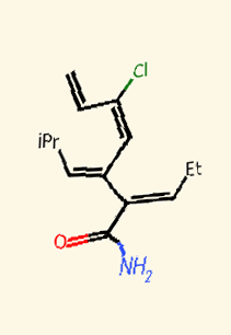 C=C\C(Cl)=C/C(=C\C(C)C)C(=C\CC)/C(N)=O